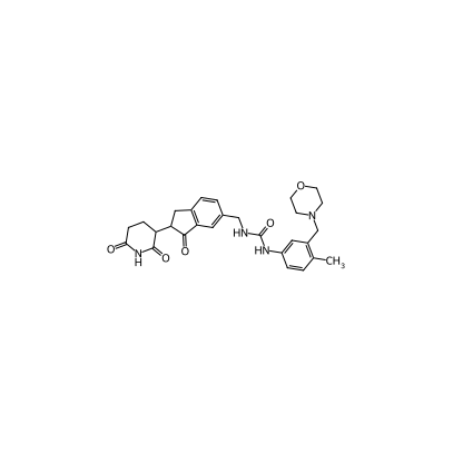 Cc1ccc(NC(=O)NCc2ccc3c(c2)C(=O)C(C2CCC(=O)NC2=O)C3)cc1CN1CCOCC1